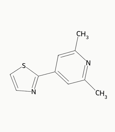 Cc1cc(-c2nccs2)cc(C)n1